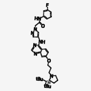 CC(C)(C)C([C@H]1CCCN1CCCOc1ccc2c(Nc3cnn(CC(=O)Nc4cccc(F)c4)c3)ncnc2c1)C(C)(C)C